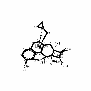 CC[C@@]12C[C@]3(C)[C@H]4Cc5ccc(O)c6c5[C@@]3(CCN4CC3CC3)[C@@H](O6)[C@@]1(OC)[C@H](C)C2=O